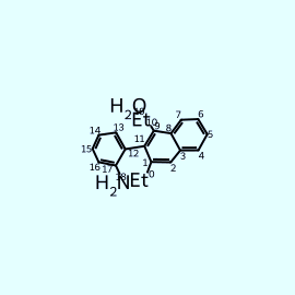 CCc1cc2ccccc2c(CC)c1-c1ccccc1N.O